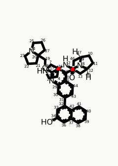 O=C(N[C@@H]1CCNC1)N1[C@@H]2CC[C@H]1CN(c1nc(OCC34CCCN3CCC4)nc3cc(-c4cc(O)cc5ccccc45)ccc13)C2